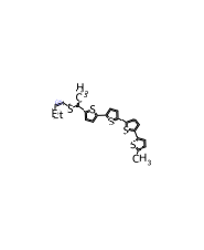 CC/C=C\SC(C)c1ccc(-c2ccc(-c3ccc(-c4ccc(C)s4)s3)s2)s1